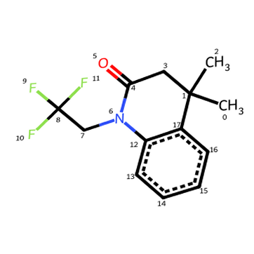 CC1(C)CC(=O)N(CC(F)(F)F)c2ccccc21